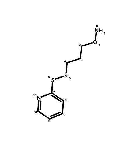 NOCCCSSc1ccccn1